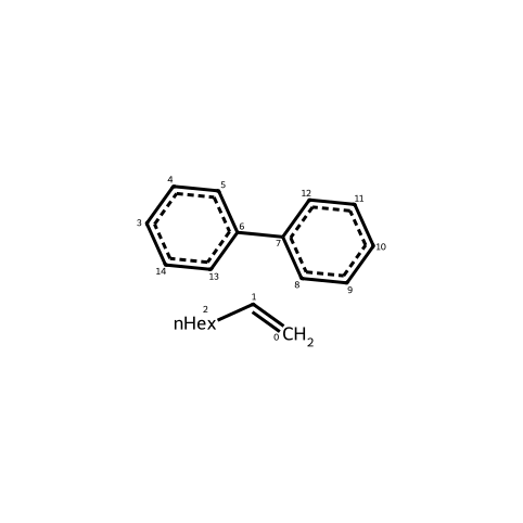 C=CCCCCCC.c1ccc(-c2ccccc2)cc1